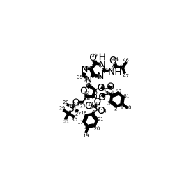 Cc1ccc(S(=O)(=O)O[C@@H]2[C@H](OS(=O)(=O)c3ccc(C)cc3)[C@@H](CO[Si](C)(C)C(C)(C)C)O[C@H]2n2cnc3c(=O)[nH]c(NC(=O)C(C)C)nc32)cc1